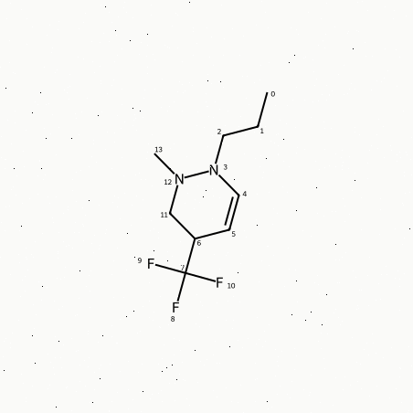 CCCN1C=CC(C(F)(F)F)CN1C